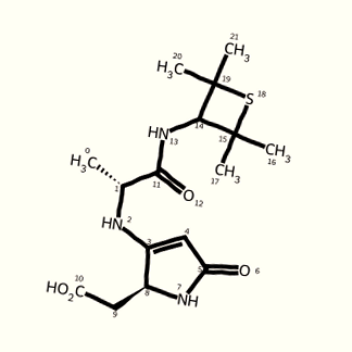 C[C@@H](NC1=CC(=O)N[C@H]1CC(=O)O)C(=O)NC1C(C)(C)SC1(C)C